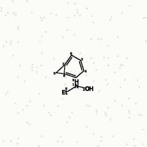 CCNO.c1ccc2c(c1)C2